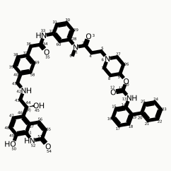 CN(C(=O)CCN1CCC(OC(=O)Nc2ccccc2-c2ccccc2)CC1)c1cccc(NC(=O)Cc2ccc(CNC[C@H](O)c3ccc(O)c4[nH]c(=O)ccc34)cc2)c1